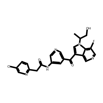 CC(CO)n1cc(C(=O)c2cncc(NC(=O)Cc3ccc(Cl)cn3)c2)c2cncc(F)c21